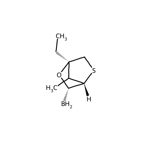 B[C@@H]1O[C@@]2(CC)CS[C@H]1C2C